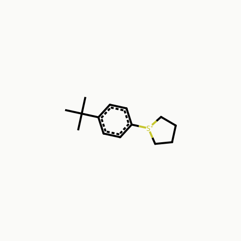 CC(C)(C)c1ccc([S+]2CCCC2)cc1